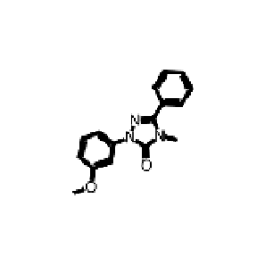 COc1cccc(-n2nc(-c3ccccc3)n(C)c2=O)c1